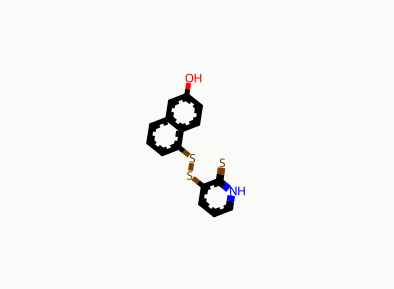 Oc1ccc2c(SSc3ccc[nH]c3=S)cccc2c1